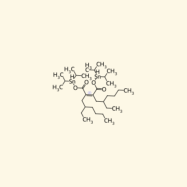 CCCCC(CC)C/C(C(=O)[O][SnH]([CH](C)C)[CH](C)C)=C(\CC(CC)CCCC)C(=O)[O][SnH]([CH](C)C)[CH](C)C